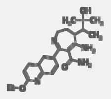 CCOc1ccc2cc(C3=NCCC(C(C)C(C)(C)O)C(N)=C3C(N)=O)ccc2n1